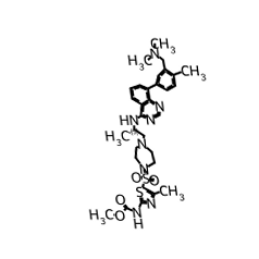 COC(=O)Nc1nc(C)c(S(=O)(=O)N2CCN(C[C@H](C)Nc3ncnc4c(-c5ccc(C)c(CN(C)C)c5)cccc34)CC2)s1